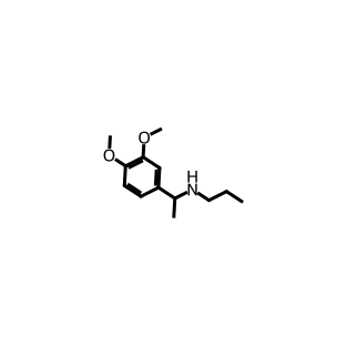 CCCNC(C)c1ccc(OC)c(OC)c1